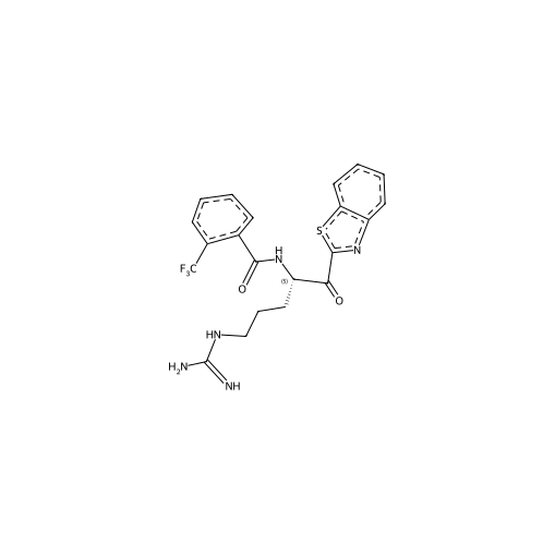 N=C(N)NCCC[C@H](NC(=O)c1ccccc1C(F)(F)F)C(=O)c1nc2ccccc2s1